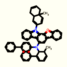 CC1C=CC=C(c2ccccc2)C1N(c1ccc(-c2ccccc2)cc1)c1cc2c3ccccc3oc2c2c1c1ccccc1n2C1=CC2CC=CCC2(C)C=C1